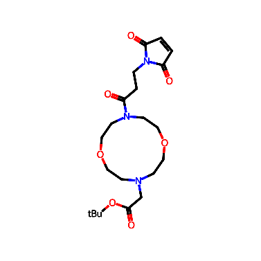 CC(C)(C)OC(=O)CN1CCOCCN(C(=O)CCN2C(=O)C=CC2=O)CCOCC1